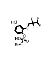 CCOP(=O)(O)Oc1ccccc1SCC(F)(F)C(F)F.Cl